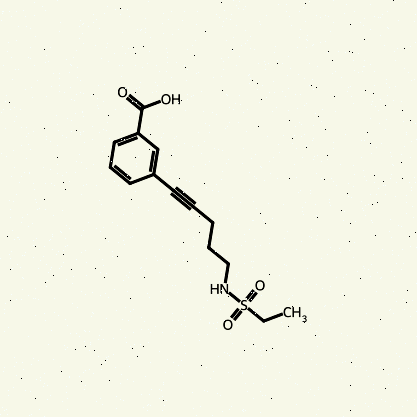 CCS(=O)(=O)NCCCC#Cc1cccc(C(=O)O)c1